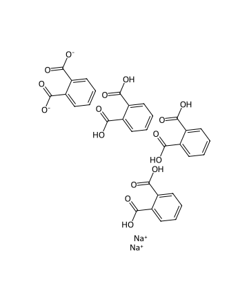 O=C(O)c1ccccc1C(=O)O.O=C(O)c1ccccc1C(=O)O.O=C(O)c1ccccc1C(=O)O.O=C([O-])c1ccccc1C(=O)[O-].[Na+].[Na+]